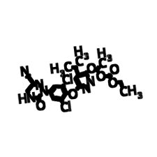 CCOC(=O)OC(C)Oc1nnc(Oc2c(Cl)cc(N3N=C(C#N)CNC3=O)cc2Cl)cc1C(C)C